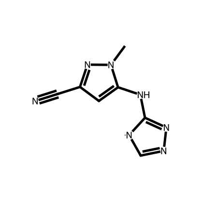 Cn1nc(C#N)cc1NC1=NN=C[N]1